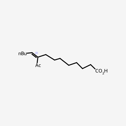 CCCC/C=C(/CCCCCCCC(=O)O)C(C)=O